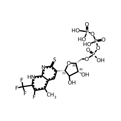 Cc1c2cc([C@@H]3O[C@H](COP(=O)(O)OP(=O)(O)OP(=O)(O)O)[C@H](O)C3O)c(=S)nc-2[nH]c(C(F)(F)F)c1F